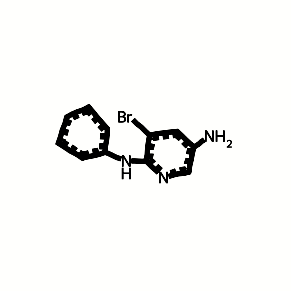 Nc1cnc(Nc2ccccc2)c(Br)c1